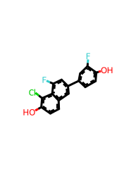 Oc1ccc(-c2cc(F)c3c(Cl)c(O)ccc3c2)cc1F